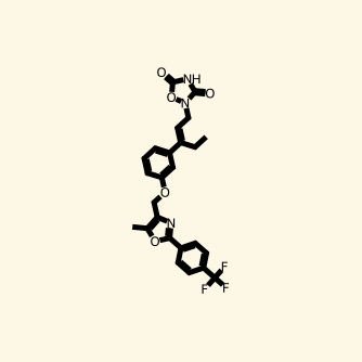 CCC(=CCn1oc(=O)[nH]c1=O)c1cccc(OCc2nc(-c3ccc(C(F)(F)F)cc3)oc2C)c1